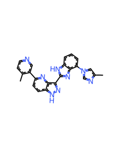 Cc1cn(-c2cccc3[nH]c(-c4n[nH]c5ccc(-c6cnccc6C)nc45)nc23)cn1